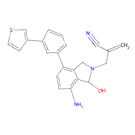 C=C(C#N)CN1Cc2c(-c3cccc(-c4ccsc4)c3)ccc(N)c2C1O